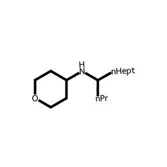 CCCCCCCC(CCC)NC1CCOCC1